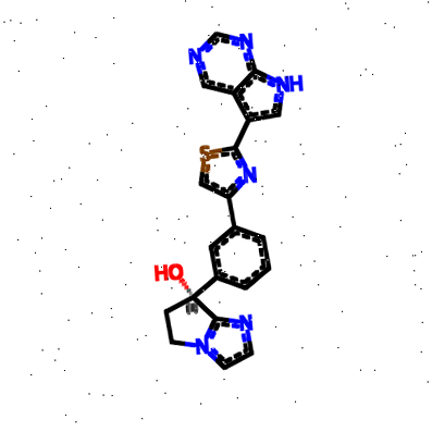 O[C@@]1(c2cccc(-c3csc(-c4c[nH]c5ncncc45)n3)c2)CCn2ccnc21